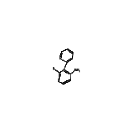 Nc1cncc(F)c1-c1cc[c]cc1